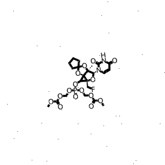 COC(=O)OCOP(=O)(OCOC(=O)OC)OC1[C@]23OC4(CCCC4)O[C@@]2(C)[C@H](n2ccc(=O)[nH]c2=O)O[C@]13CF